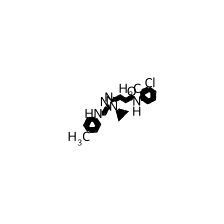 Cc1ccc(NCc2nnc(CCC(=O)Nc3cccc(Cl)c3C)n2C2CC2)cc1